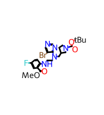 COC(=O)c1cc(F)ccc1NCCN(CC1CCN(C(=O)OC(C)(C)C)C1)c1ncncc1Br